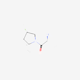 CC[C@H](C)[C@H](N)C(=O)N1C[C@H](F)C[C@H]1C#N.Cl